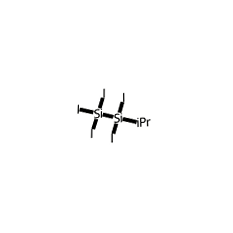 CC(C)[Si](I)(I)[Si](I)(I)I